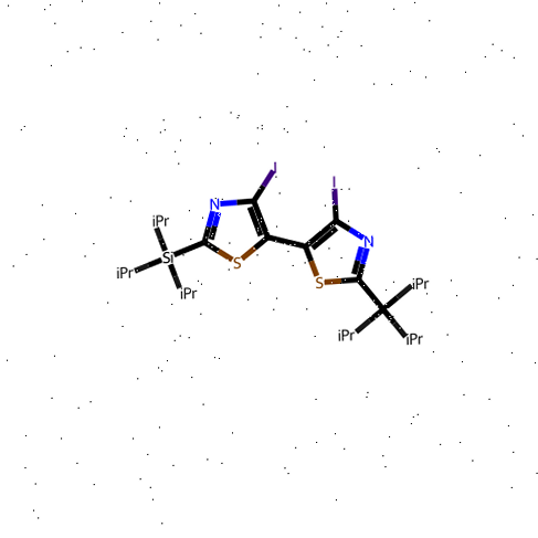 CC(C)C(c1nc(I)c(-c2sc([Si](C(C)C)(C(C)C)C(C)C)nc2I)s1)(C(C)C)C(C)C